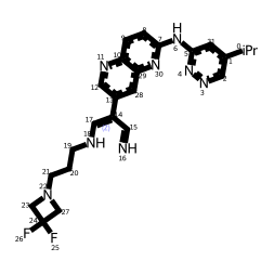 CC(C)c1cnnc(Nc2ccc3ncc(/C(C=N)=C/NCCCN4CC(F)(F)C4)cc3n2)c1